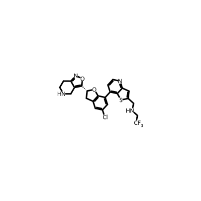 FC(F)(F)CNCc1cc2nccc(-c3cc(Cl)cc4c3O[C@@H](c3onc5c3CNCC5)C4)c2s1